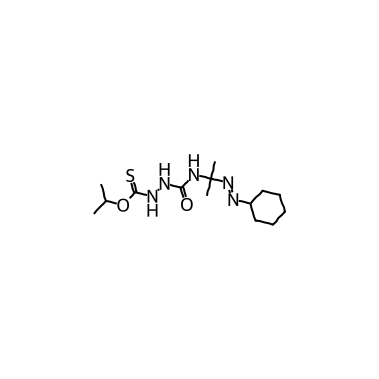 CC(C)OC(=S)NNC(=O)NC(C)(C)/N=N/C1CCCCC1